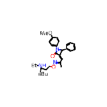 CCCCC(CCON=C(C)C=C1C(=O)N(c2ccc(OC)cc2)C1c1ccccc1)NCC